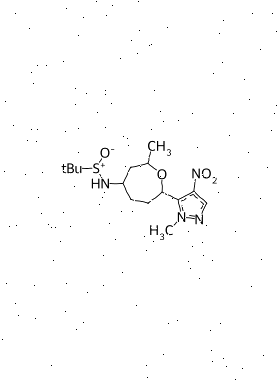 CC1CC(N[S+]([O-])C(C)(C)C)CCC(c2c([N+](=O)[O-])cnn2C)O1